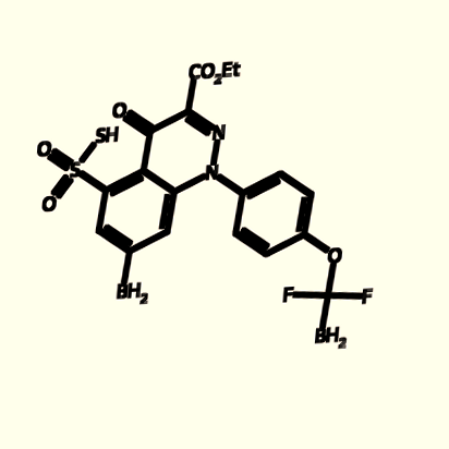 Bc1cc(S(=O)(=O)S)c2c(=O)c(C(=O)OCC)nn(-c3ccc(OC(B)(F)F)cc3)c2c1